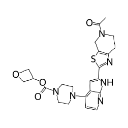 CC(=O)N1CCc2nc(-c3cc4c(N5CCN(C(=O)OC6COC6)CC5)ccnc4[nH]3)sc2C1